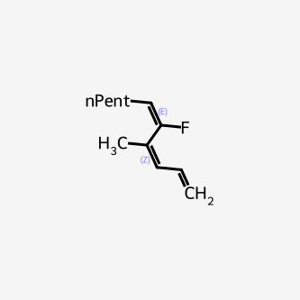 C=C/C=C(C)\C(F)=C/CCCCC